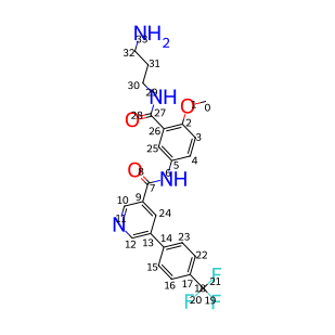 COc1ccc(NC(=O)c2cncc(-c3ccc(C(F)(F)F)cc3)c2)cc1C(=O)NCCCN